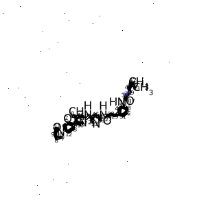 CC1Oc2cc(N3CCCC3=O)ccc2-c2cnc(Nc3cncc(NC(=O)CCc4cccc(NC(=O)/C=C/CN(C)C)c4)c3)cc21